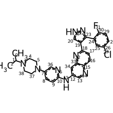 CC(C)N1CCN(c2ccc(Nc3cnc4ccc(-c5c[nH]nc5-c5cc(Cl)ccc5F)nc4c3)nc2)CC1